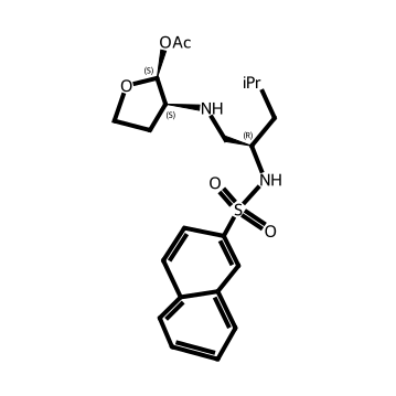 CC(=O)O[C@@H]1OCC[C@@H]1NC[C@@H](CC(C)C)NS(=O)(=O)c1ccc2ccccc2c1